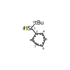 CC(C)(C)[SiH]([S])c1ccccc1